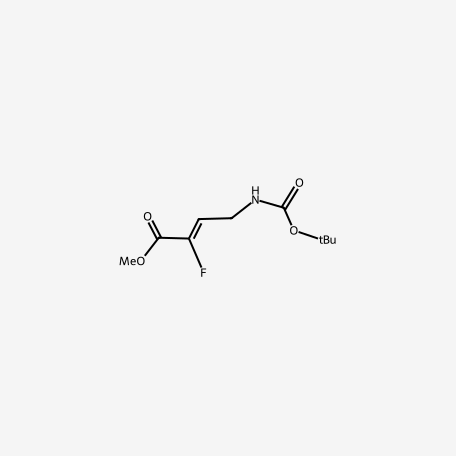 COC(=O)C(F)=CCNC(=O)OC(C)(C)C